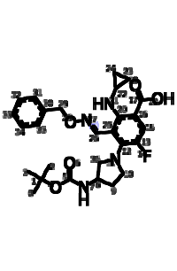 CC(C)(C)OC(=O)NC1CCN(c2c(F)cc(C(=O)O)c(NC3CC3)c2/C=N/OCc2ccccc2)C1